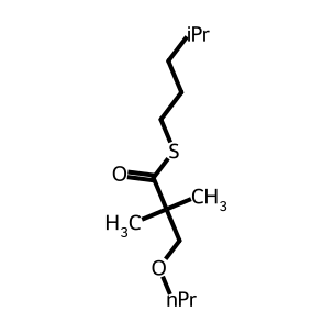 CCCOCC(C)(C)C(=O)SCCCC(C)C